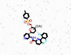 CC(=O)O[C@H]1CC[C@H](c2ccncc2NC(=O)c2ccc(F)c(-c3c(F)cccc3F)n2)O[C@@H]1COS(=O)(=O)c1ccc(C)cc1